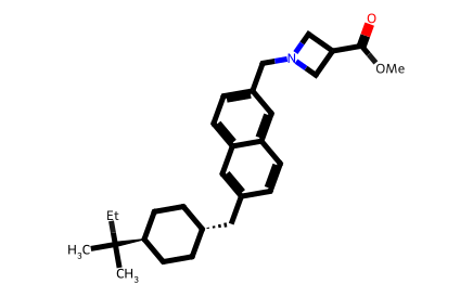 CCC(C)(C)[C@H]1CC[C@H](Cc2ccc3cc(CN4CC(C(=O)OC)C4)ccc3c2)CC1